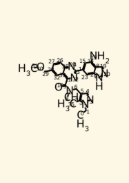 CCn1ncc(CN(C)C(=O)c2nc(-c3cc(N)c4cn[nH]c4c3)nc3ccc(COC)cc23)c1C